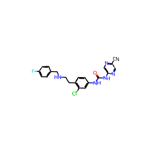 N#Cc1cnc(NC(=O)Nc2ccc(CCNCc3ccc(F)cc3)c(Cl)c2)cn1